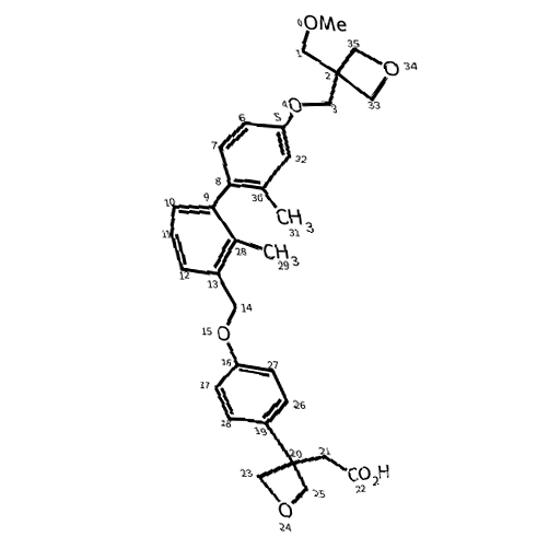 COCC1(COc2ccc(-c3cccc(COc4ccc(C5(CC(=O)O)COC5)cc4)c3C)c(C)c2)COC1